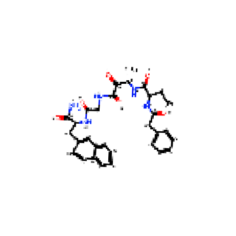 CC[C@H](C)C(NC(=O)C(CC(C)C)NC(=O)Cc1ccccc1)C(=O)C(=O)NCC(=O)NC(Cc1ccc2ccccc2c1)C(N)=O